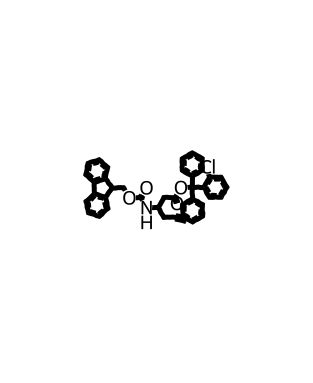 C#CCC(CC(=O)OC(c1ccccc1)(c1ccccc1)c1ccccc1Cl)NC(=O)OCC1c2ccccc2-c2ccccc21